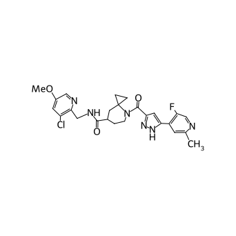 COc1cnc(CNC(=O)C2CCN(C(=O)c3cc(-c4cc(C)ncc4F)[nH]n3)C3(CC3)C2)c(Cl)c1